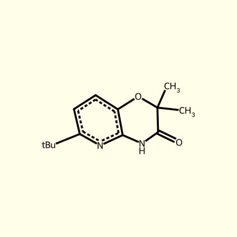 CC1(C)Oc2ccc(C(C)(C)C)nc2NC1=O